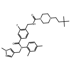 Cc1ccc(N(Cc2cnn(C)c2)C(=O)c2ccc(CNC(=O)N3CCN(CCC(C)(C)C)CC3)c(F)c2)c(C)c1